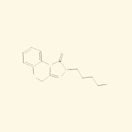 O=c1n(CCCCCl)nc2n1-c1ccccc1OC2